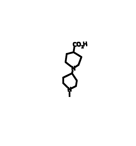 CN1CCC(N2CCC(C(=O)O)CC2)CC1